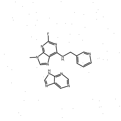 Cn1cnc2c(NCc3cccnc3)nc(F)nc21.c1ncc2nc[nH]c2n1